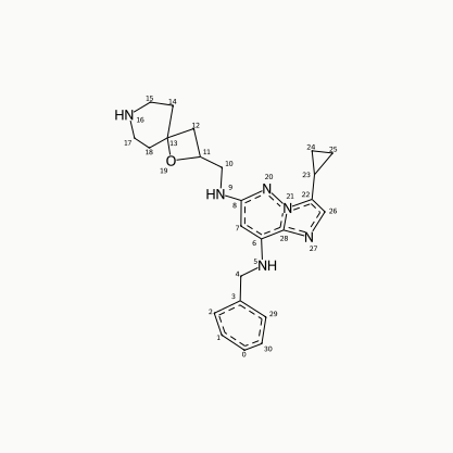 c1ccc(CNc2cc(NCC3CC4(CCNCC4)O3)nn3c(C4CC4)cnc23)cc1